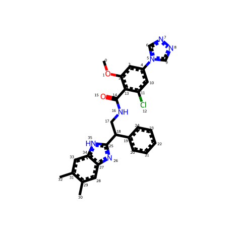 COc1cc(-n2cnnc2)cc(Cl)c1C(=O)NCC(c1ccccc1)c1nc2cc(C)c(C)cc2[nH]1